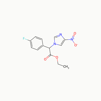 CCOC(=O)C(c1ccc(F)cc1)n1cnc([N+](=O)[O-])c1